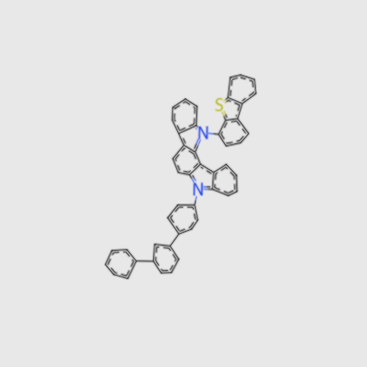 c1ccc(-c2cccc(-c3ccc(-n4c5ccccc5c5c4ccc4c6ccccc6n(-c6cccc7c6sc6ccccc67)c45)cc3)c2)cc1